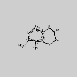 Nc1cnc2c(c1Cl)CCCC2